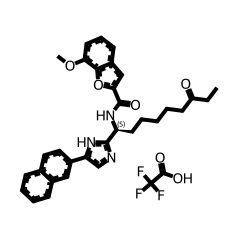 CCC(=O)CCCCC[C@H](NC(=O)c1cc2cccc(OC)c2o1)c1ncc(-c2ccc3ccccc3c2)[nH]1.O=C(O)C(F)(F)F